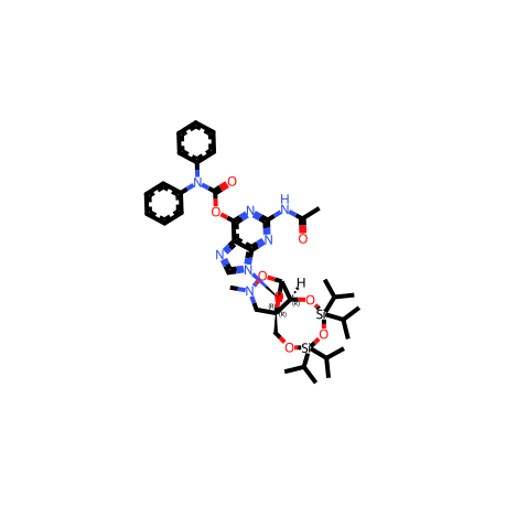 CC(=O)Nc1nc(OC(=O)N(c2ccccc2)c2ccccc2)c2ncn([C@@H]3O[C@]45CO[Si](C(C)C)(C(C)C)O[Si](C(C)C)(C(C)C)O[C@@H]4C3ON(C)C5)c2n1